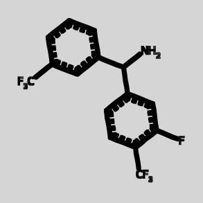 NC(c1cccc(C(F)(F)F)c1)c1ccc(C(F)(F)F)c(F)c1